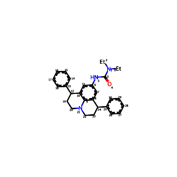 CCN(CC)C(=O)Nc1cc2c3c(c1)C(c1ccccc1)CCN3CCC2c1ccccc1